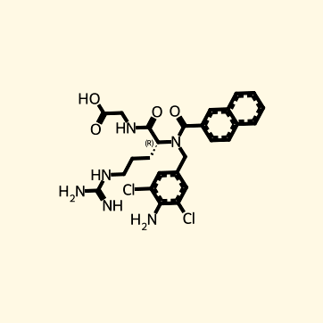 N=C(N)NCCC[C@H](C(=O)NCC(=O)O)N(Cc1cc(Cl)c(N)c(Cl)c1)C(=O)c1ccc2ccccc2c1